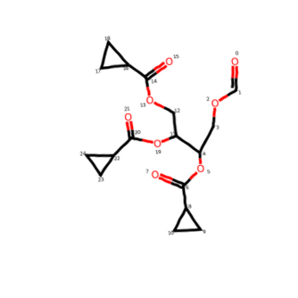 O=COCC(OC(=O)C1CC1)C(COC(=O)C1CC1)OC(=O)C1CC1